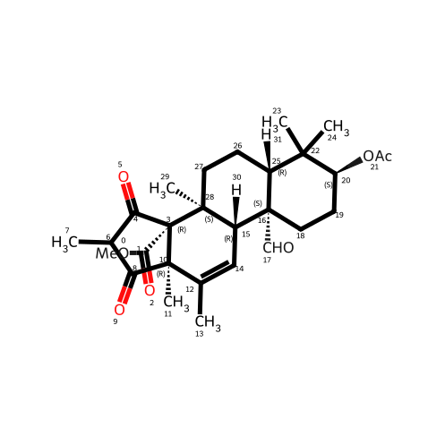 COC(=O)[C@@]12C(=O)C(C)C(=O)[C@]1(C)C(C)=C[C@H]1[C@]3(C=O)CC[C@H](OC(C)=O)C(C)(C)[C@H]3CC[C@@]12C